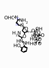 CN(/C=C\C(N)=N/C=O)[C@H]1CC(OC(CN)NNc2ccccc2O)[C@@H](COP(=O)(O)OP(=O)(O)OP(=O)(O)O)O1